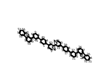 c1cc(-c2ccc(-c3ccnc(-c4cc(-c5ccc(-c6cccc(-c7cccc8c7sc7ccccc78)c6)cc5)ccn4)c3)cc2)cc(-c2cccc3c2sc2ccccc23)c1